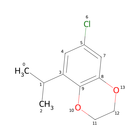 CC(C)c1cc(Cl)cc2c1OCCO2